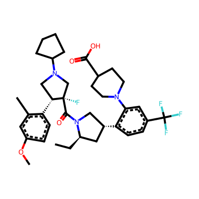 CC[C@@H]1C[C@@H](c2ccc(C(F)(F)F)cc2N2CCC(C(=O)O)CC2)CN1C(=O)[C@]1(F)CN(C2CCCC2)C[C@H]1c1ccc(OC)cc1C